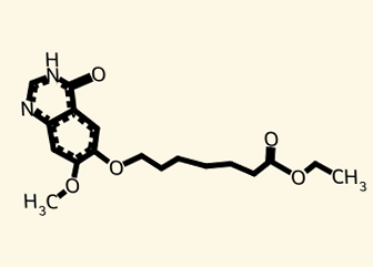 CCOC(=O)CCCCCCOc1cc2c(=O)[nH]cnc2cc1OC